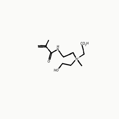 C=C(C)C(=O)NCC[N+](C)(CCO)CC(=O)O